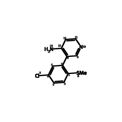 CSc1ccc(Cl)cc1-c1cnccc1N